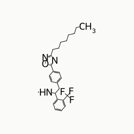 CCCCCCCCc1noc(-c2ccc(CC([NH])c3ccccc3C(F)(F)F)cc2)n1